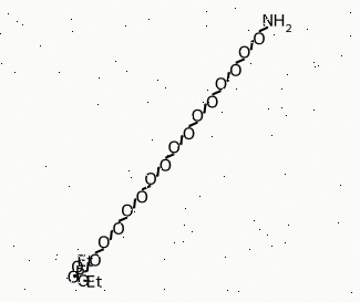 CCOP(=O)(CCOCCOCCOCCOCCOCCOCCOCCOCCOCCOCCOCCOCCOCCOCCOCCN)OCC